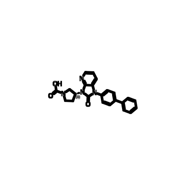 O=C(O)N1CC[C@@H](n2c(=O)n(-c3ccc(-c4ccccc4)cc3)c3cccnc32)C1